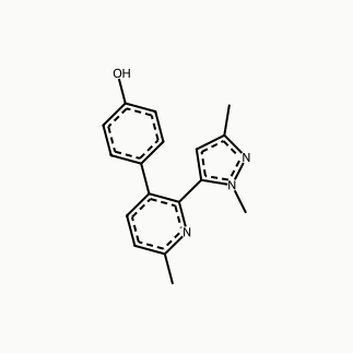 Cc1ccc(-c2ccc(O)cc2)c(-c2cc(C)nn2C)n1